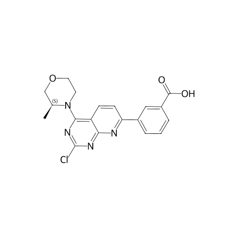 C[C@H]1COCCN1c1nc(Cl)nc2nc(-c3cccc(C(=O)O)c3)ccc12